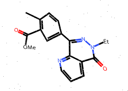 CCn1nc(-c2ccc(C)c(C(=O)OC)c2)c2ncccc2c1=O